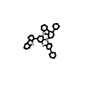 c1ccc(-c2ccc3c(c2)Sc2cc(-c4cccc5c4sc4ccccc45)cc4c2B3c2ccc(-c3ccccc3)c3c5ccccc5n-4c23)cc1